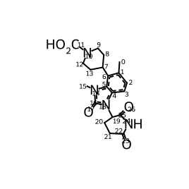 Cc1ccc2c(c1C1CCN(C(=O)O)CC1)n(C)c(=O)n2C1CCC(=O)NC1=O